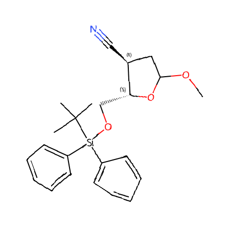 COC1C[C@H](C#N)[C@@H](CO[Si](c2ccccc2)(c2ccccc2)C(C)(C)C)O1